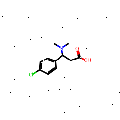 CN(C)C(CC(=O)O)c1ccc(Cl)cc1